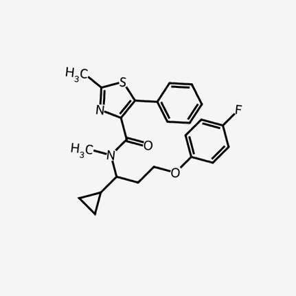 Cc1nc(C(=O)N(C)C(CCOc2ccc(F)cc2)C2CC2)c(-c2ccccc2)s1